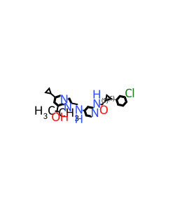 CC(C)(O)c1cc(C2CC2)cn2cc(CNc3ccnc(NC(=O)[C@H]4C[C@@H]4c4cccc(Cl)c4)c3)nc12